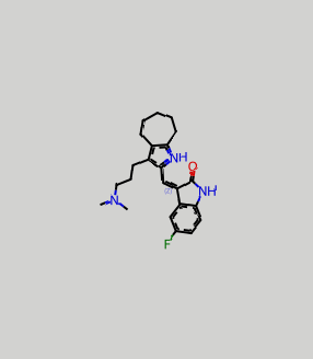 CN(C)CCCc1c(/C=C2\C(=O)Nc3ccc(F)cc32)[nH]c2c1CCCCC2